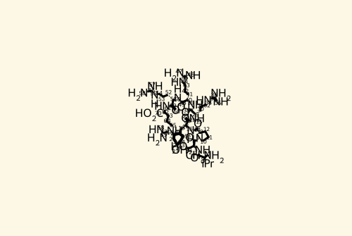 CC(C)[C@H](N)C(=O)N[C@H](C(=O)N1CCC[C@H]1C(=O)N[C@@H](Cc1ccc(O)cc1)C(=O)N[C@@H](CCCNC(=N)N)C(=O)N[C@@H](CCCNC(=N)N)C(=O)N[C@@H](CCCNC(=N)N)C(=O)N[C@@H](CCCNC(=N)N)C(=O)O)[C@@H](C)O